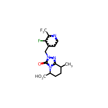 CC1CCC(C(=O)O)n2c1nn(Cc1ccnc(C(F)(F)F)c1F)c2=O